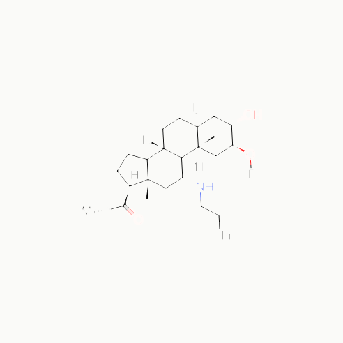 CCO[C@H]1C[C@@]2(C)[C@@H](CC[C@@H]3[C@@H]2[C@H](NCCC(C)C)C[C@]2(C)[C@@H](C(=O)OC)CC[C@@H]32)C[C@@H]1O